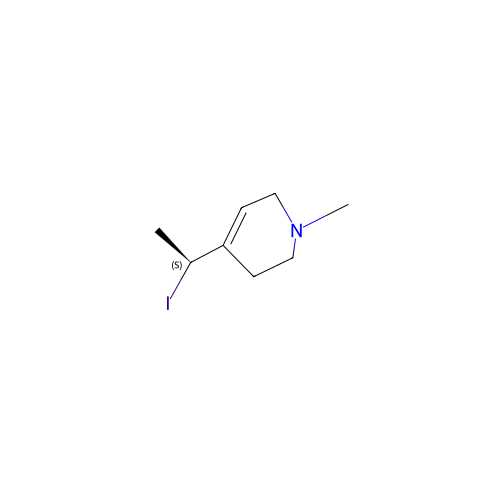 C[C@H](I)C1=CCN(C)CC1